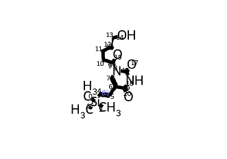 C[Si](C)(C)/C=C/c1cn([C@H]2CC[C@@H](CO)O2)c(=O)[nH]c1=O